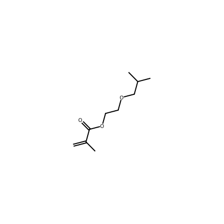 C=C(C)C(=O)OCCOCC(C)C